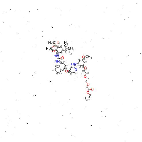 CCOC(=O)COCCOCCOc1cc(Nc2cc(Oc3ccc(NC(=O)Nc4cc(C(C)(C)C)cc(S(C)(=O)=O)c4OC)c4ccccc34)ccn2)cc(OC)c1